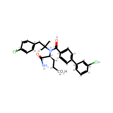 CC(C)(Cc1ccc(Cl)cc1)N(C(=O)c1ccc(-c2cccc(Cl)c2)cc1)[C@@H](CCC(=O)O)C(N)=O